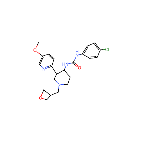 COc1ccc(C2CN(CC3COC3)CCC2NC(=O)Nc2ccc(Cl)cc2)nc1